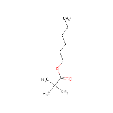 [CH2]CCCCCOC(=O)C(C)(C)C